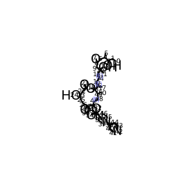 CCC(O)C(C)C1OC1CC(C)(O)/C=C/C=C(\C)C1OC(=O)CC(O)CCC(C)(OC)C(OC(=O)N2CCN(c3ccncc3)CC2)/C=C/C1C